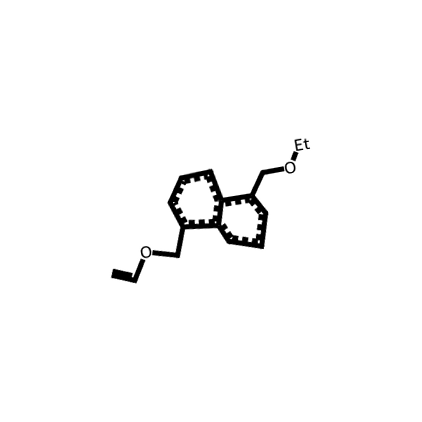 C=COCc1cccc2c(COCC)cccc12